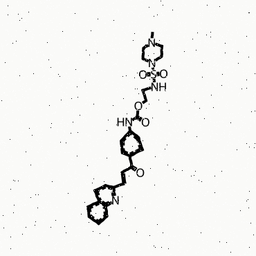 CN1CCN(S(=O)(=O)NCCOC(=O)Nc2ccc(C(=O)/C=C/c3ccc4ccccc4n3)cc2)CC1